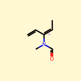 C=C/C(=C\C)N(C)C=O